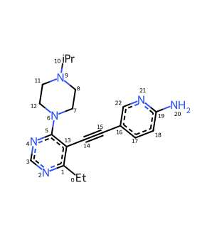 CCc1ncnc(N2CCN(C(C)C)CC2)c1C#Cc1ccc(N)nc1